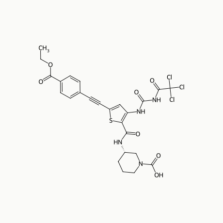 CCOC(=O)c1ccc(C#Cc2cc(NC(=O)NC(=O)C(Cl)(Cl)Cl)c(C(=O)N[C@H]3CCCN(C(=O)O)C3)s2)cc1